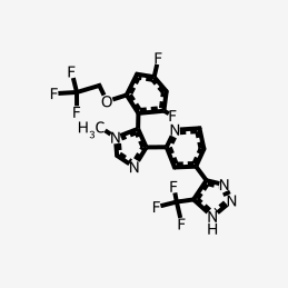 Cn1cnc(-c2cc(-c3nn[nH]c3C(F)(F)F)ccn2)c1-c1c(F)cc(F)cc1OCC(F)(F)F